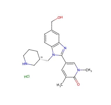 Cc1cc(-c2nc3cc(CO)ccc3n2C[C@H]2CCCNC2)cn(C)c1=O.Cl